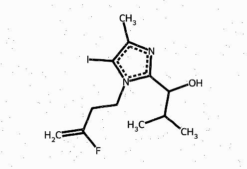 C=C(F)CCn1c(C(O)C(C)C)nc(C)c1I